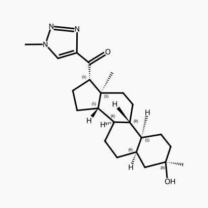 Cn1cc(C(=O)[C@H]2CC[C@H]3[C@@H]4CC[C@@H]5C[C@](C)(O)CC[C@@H]5[C@H]4CC[C@]23C)nn1